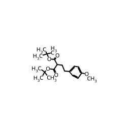 COc1ccc(CCC(C(=O)OC(C)(C)C)C(=O)OC(C)(C)C)cc1